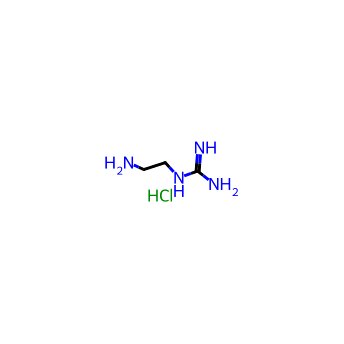 Cl.N=C(N)NCCN